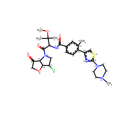 COC(C)(C)C(NC(=O)c1ccc(-c2csc(N3CCN(C)CC3)n2)c(C)c1)C(=O)N1CC(Cl)C2OCC(=O)C21